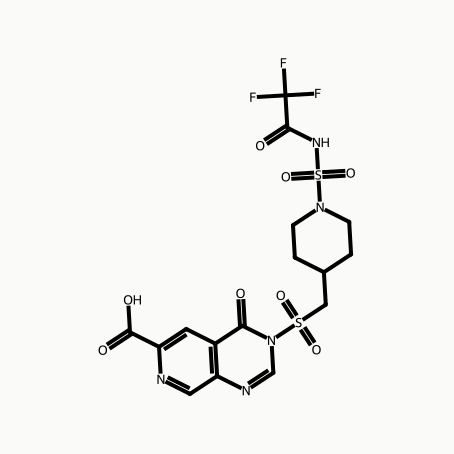 O=C(O)c1cc2c(=O)n(S(=O)(=O)CC3CCN(S(=O)(=O)NC(=O)C(F)(F)F)CC3)cnc2cn1